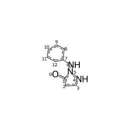 O=c1cc[nH]n1Nc1ccccc1